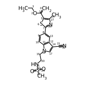 C=C(OCC)c1sc(-c2ccc3c(c2)c(C#N)cn3CCNS(C)(=O)=O)nc1C